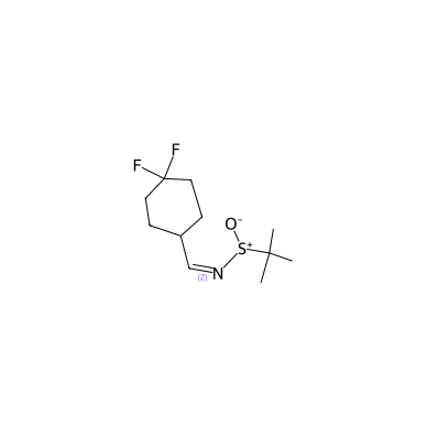 CC(C)(C)[S+]([O-])/N=C\C1CCC(F)(F)CC1